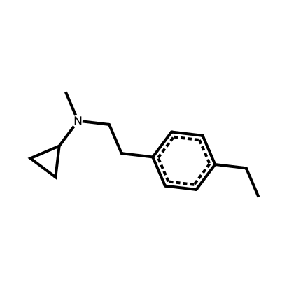 CCc1ccc(CCN(C)C2CC2)cc1